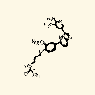 COc1cc(-c2ccc3ncc(-c4cnc(N)c(C(F)(F)F)c4)n3n2)ccc1OCCCNC(=O)OC(C)(C)C